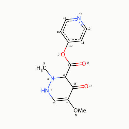 COC1=CNN(C)C(C(=O)Oc2ccncc2)C1=O